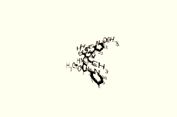 CCO[C@@H]1CN(c2ccccn2)C[C@H]1Nc1c(CC)nc(-c2ccc(OC)nc2C)n(C)c1=O